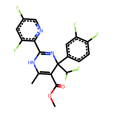 COC(=O)C1=C(C)NC(c2ncc(F)cc2F)=NC1(c1ccc(F)c(F)c1)C(F)F